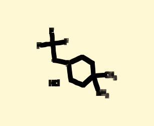 CC1(N)CCN([CH]C(F)(F)F)CC1.Cl